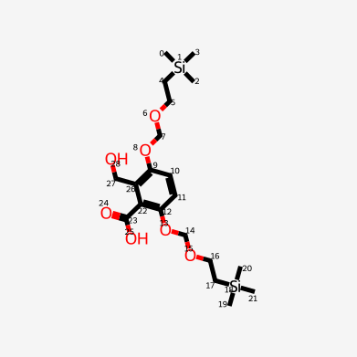 C[Si](C)(C)CCOCOc1ccc(OCOCC[Si](C)(C)C)c(C(=O)O)c1CO